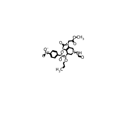 C=CCON(C1CN(BC=O)Cc2c1sc(=O)n2CC(=O)OC)S(=O)(=O)c1ccc([N+](=O)[O-])cc1